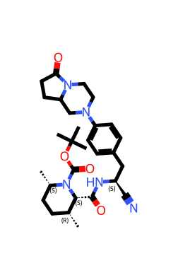 C[C@@H]1CC[C@H](C)N(C(=O)OC(C)(C)C)[C@@H]1C(=O)N[C@H](C#N)Cc1ccc(N2CCN3C(=O)CCC3C2)cc1